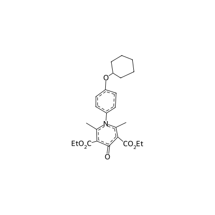 CCOC(=O)c1c(C)n(-c2ccc(OC3CCCCC3)cc2)c(C)c(C(=O)OCC)c1=O